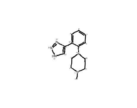 CN1CCN(c2ccccc2-c2c[nH]nn2)CC1